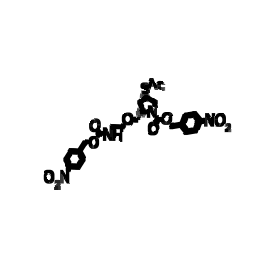 CC(=O)S[C@H]1C[C@@H](COCCNC(=O)OCc2ccc([N+](=O)[O-])cc2)N(C(=O)OCc2ccc([N+](=O)[O-])cc2)C1